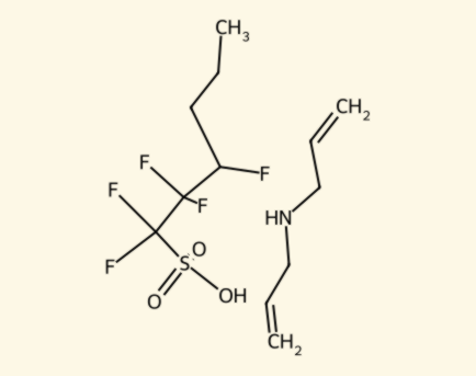 C=CCNCC=C.CCCC(F)C(F)(F)C(F)(F)S(=O)(=O)O